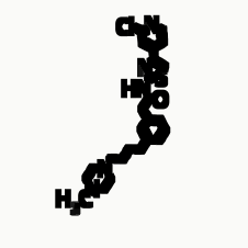 CN1CCN(CCCCc2cccc(CC(=O)Nc3nc(-c4ccnc(Cl)c4)cs3)c2)CC1